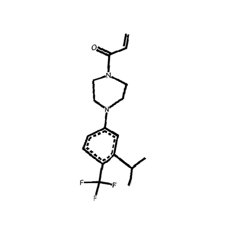 C=CC(=O)N1CCN(c2ccc(C(F)(F)F)c(C(C)C)c2)CC1